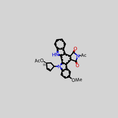 COc1ccc2c(c1)c1c3c(c4c5ccccc5[nH]c4c1n2C1C=C[C@@H](OC(C)=O)C1)C(=O)N(C(C)=O)C3=O